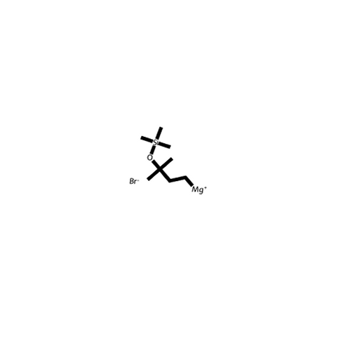 CC(C)(C[CH2][Mg+])O[Si](C)(C)C.[Br-]